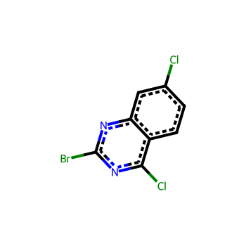 Clc1ccc2c(Cl)nc(Br)nc2c1